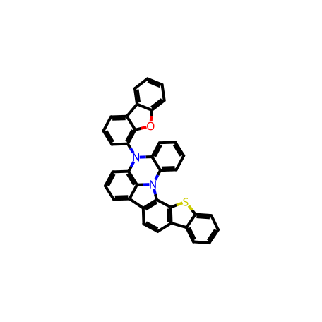 c1ccc2c(c1)N(c1cccc3c1oc1ccccc13)c1cccc3c4ccc5c6ccccc6sc5c4n-2c13